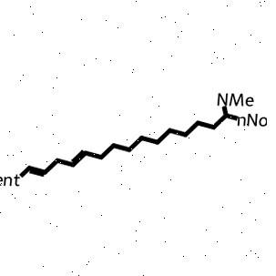 CCCCCC=CCC=CCCCCCCCCCC(CCCCCCCCC)NC